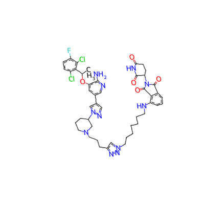 CC(Oc1cc(-c2cnn(C3CCCN(CCCc4cn(CCCCCCCNc5cccc6c5C(=O)N(C5CCC(=O)NC5=O)C6=O)nn4)C3)c2)cnc1N)c1c(Cl)ccc(F)c1Cl